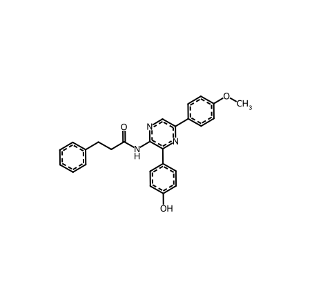 COc1ccc(-c2cnc(NC(=O)CCc3ccccc3)c(-c3ccc(O)cc3)n2)cc1